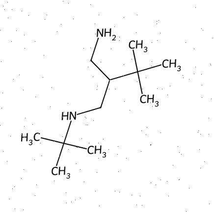 CC(C)(C)NCC(CN)C(C)(C)C